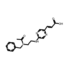 CC(=O)N(CCNc1cnc(C=CC(=O)O)cn1)Cc1ccccc1